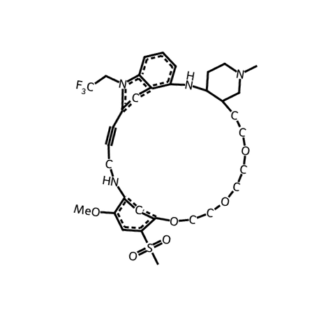 COc1cc(S(C)(=O)=O)c2cc1NCC#Cc1cc3c(cccc3n1CC(F)(F)F)NC1CCN(C)CC1CCOCCOCCO2